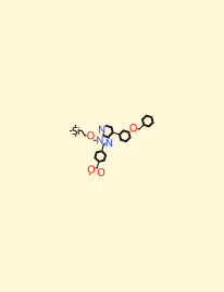 COC(=O)c1ccc(-c2nc3c(-c4cccc(OCc5ccccc5)c4)ccnc3n2COCC[Si](C)(C)C)cc1